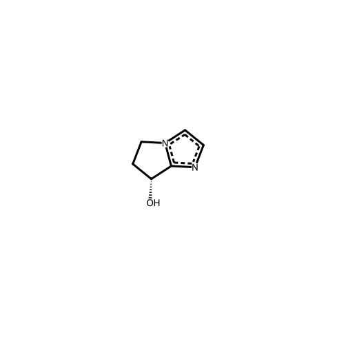 O[C@@H]1CCn2ccnc21